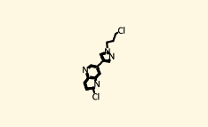 ClCCCn1cc(-c2cnc3ccc(Cl)nc3c2)cn1